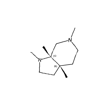 CN1CC[C@]2(C)CCN(C)[C@]2(C)C1